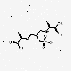 C=C(C)C(=O)NCC(CNC(=O)C(=C)C)OP(=O)(O)O